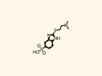 CN(C)CCSc1nc2cc(S(=O)(=O)O)ccc2[nH]1